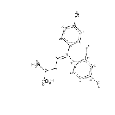 CCc1ccc(C(=CCC(N)C(=O)O)c2ccc(F)cc2F)cc1